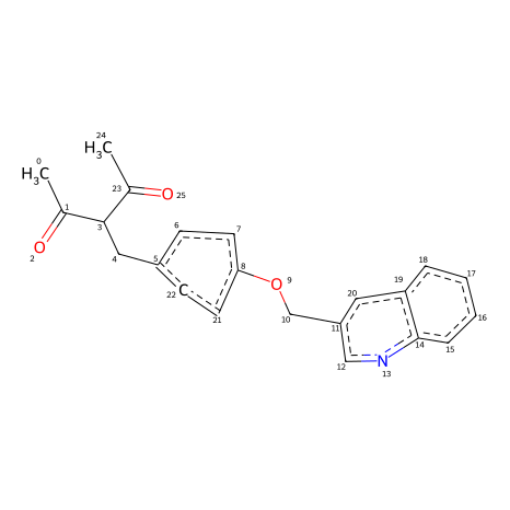 CC(=O)C(Cc1ccc(OCc2cnc3ccccc3c2)cc1)C(C)=O